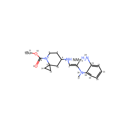 CN/C(=C\NC1CCN(C(=O)OC(C)(C)C)C2(CC2)C1)N(C)c1ccccc1N